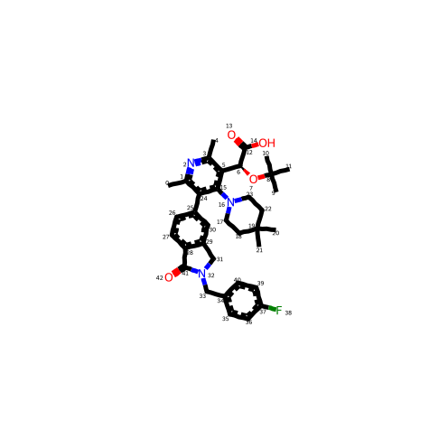 Cc1nc(C)c([C@H](OC(C)(C)C)C(=O)O)c(N2CCC(C)(C)CC2)c1-c1ccc2c(c1)CN(Cc1ccc(F)cc1)C2=O